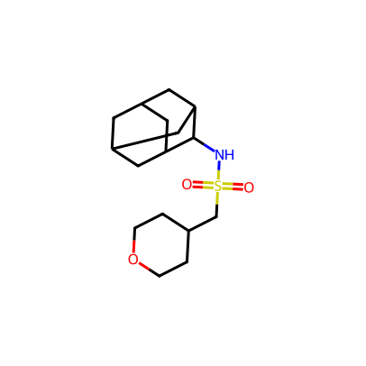 O=S(=O)(CC1CCOCC1)NC1C2CC3CC(C2)CC1C3